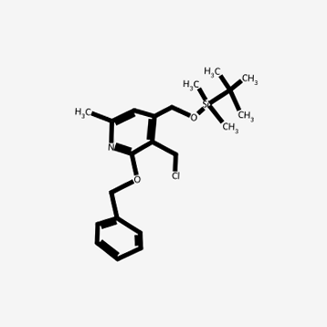 Cc1cc(CO[Si](C)(C)C(C)(C)C)c(CCl)c(OCc2ccccc2)n1